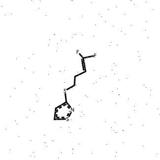 FC(F)=CCCSc1ccsn1